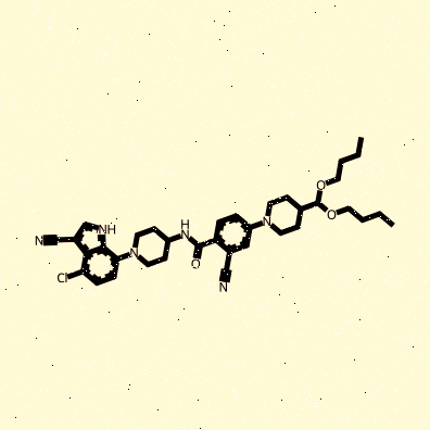 CCCCOC(OCCCC)C1CCN(c2ccc(C(=O)NC3CCN(c4ccc(Cl)c5c(C#N)c[nH]c45)CC3)c(C#N)c2)CC1